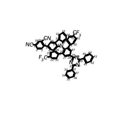 N#Cc1ccc(-c2ccc3c(c2)c2ccccc2n3-c2c(-c3ccc(C(F)(F)F)cc3)cc(-c3nc(-c4ccccc4)nc(-c4ccccc4)n3)cc2-c2ccc(C(F)(F)F)cc2)c(C#N)c1